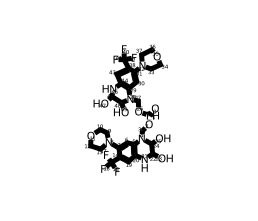 O=[PH](OCN1c2cc(N3CCOCC3)c(C(F)(F)F)cc2NC(O)C1O)OCN1c2cc(N3CCOCC3)c(C(F)(F)F)cc2NC(O)C1O